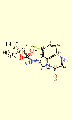 CC(C)(C)OC(=O)N[C@@H]1Cn2c(=O)cnc3ccc(F)c1c32